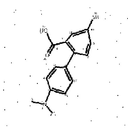 CN(C)c1ccc(-c2ccc(S)cc2C(=O)O)cc1